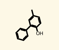 Cc1ccc(O)c(-c2ccccc2)c1